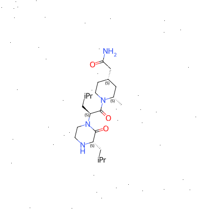 CC(C)C[C@@H]1NCCN([C@@H](CC(C)C)C(=O)N2CC[C@H](CC(N)=O)C[C@@H]2C)C1=O